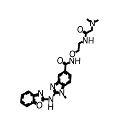 CN(C)CC(=O)NCCONC(=O)c1ccc2c(c1)nc(Nc1nc3ccccc3o1)n2C